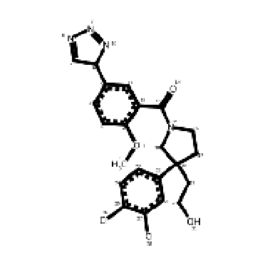 COc1ccc(C2C=NN=N2)cc1C(=O)N1CCC(CCO)(c2ccc(Cl)c(Cl)c2)C1